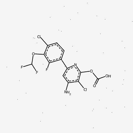 Nc1cc(-c2ccc(Cl)c(OC(F)F)c2F)nc(OC(=O)O)c1Cl